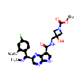 C/N=C(/c1cnc2[nH]cc(C(=O)NCC3(O)CN(C(=O)OC(C)(C)C)C3)c2n1)c1ccc(F)cc1NC